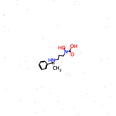 C[C@@H](NCCCN(O)C(=O)O)c1ccccc1